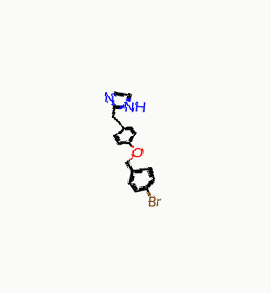 Brc1ccc(COc2ccc(Cc3ncc[nH]3)cc2)cc1